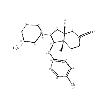 C[C@]12CCC(=O)C[C@H]1C[C@@H](N1CCC[C@@H](N)C1)[C@@H]2Oc1ccc(C#N)cc1